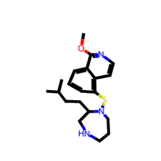 COc1nccc2c(SN3CCCNCC3CCC(C)C)cccc12